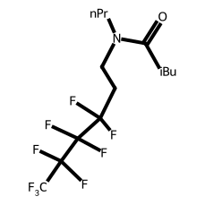 CCCN(CCC(F)(F)C(F)(F)C(F)(F)C(F)(F)F)C(=O)C(C)CC